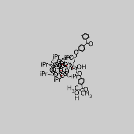 CC(C)C[Si]12O[Si]3(CCCN(CC(O)COc4ccc(C(=O)c5ccccc5)cc4)CC(O)COc4ccc(C(=O)C(C)(C)O)cc4)O[Si]4(CC(C)C)O[Si](CC(C)C)(O1)O[Si]1(CC(C)C)O[Si](CC(C)C)(O2)O[Si](CC(C)C)(O3)O[Si](CC(C)C)(O4)O1